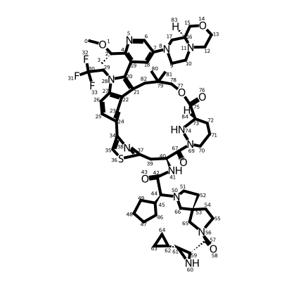 CO[C@@H](C)c1ncc(N2CCN3CCOC[C@@H]3C2)cc1-c1c2c3cc(ccc3n1CC(F)(F)F)-c1csc(n1)C[C@H](NC(=O)[C@H](C1CCCC1)N1CC[C@]3(CCN(C(=O)[C@@H]4N[C@@H]4C4CC4)C3)C1)C(=O)N1CCC[C@H](N1)C(=O)OCC(C)(C)C2